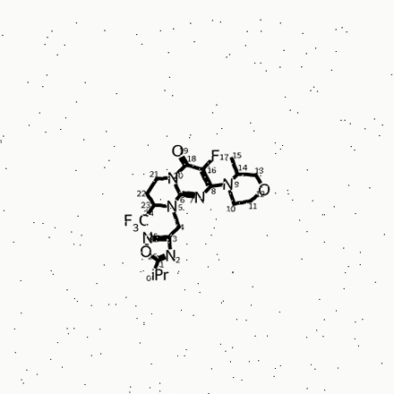 CC(C)c1nc(CN2c3nc(N4CCOCC4C)c(F)c(=O)n3CCC2C(F)(F)F)no1